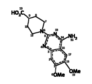 COc1cc2nc(N3CCC(C(=O)O)CC3)nc(N)c2cc1OC